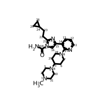 CN1CCN(C2CCN(c3ncccc3-c3cn(C(N)=O)c(CCC4CC4)n3)CC2)CC1